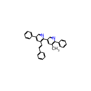 Cc1cc(-c2ncc(-c3ccccc3)cc2C=Cc2ccccc2)cnc1-c1ccccc1